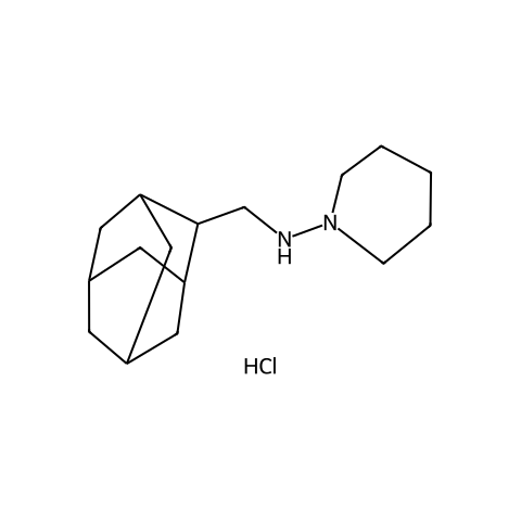 C1CCN(NCC2C3CC4CC(C3)CC2C4)CC1.Cl